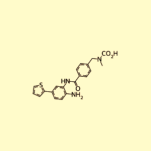 CN(Cc1ccc(C(=O)Nc2cc(-c3cccs3)ccc2N)cc1)C(=O)O